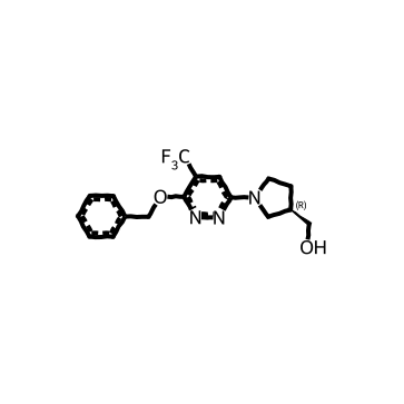 OC[C@@H]1CCN(c2cc(C(F)(F)F)c(OCc3ccccc3)nn2)C1